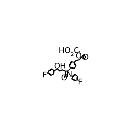 O=C(O)COC1(CCc2ccc([C@@H]3C(CC[C@H](O)c4ccc(F)cc4)C(=O)N3c3ccc(F)cc3)cc2)COC1